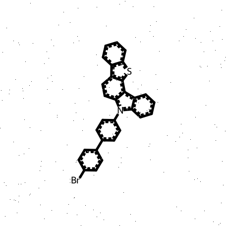 Brc1ccc(-c2ccc(-n3c4ccccc4c4c5sc6ccccc6c5ccc43)cc2)cc1